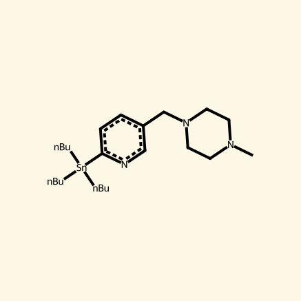 CCC[CH2][Sn]([CH2]CCC)([CH2]CCC)[c]1ccc(CN2CCN(C)CC2)cn1